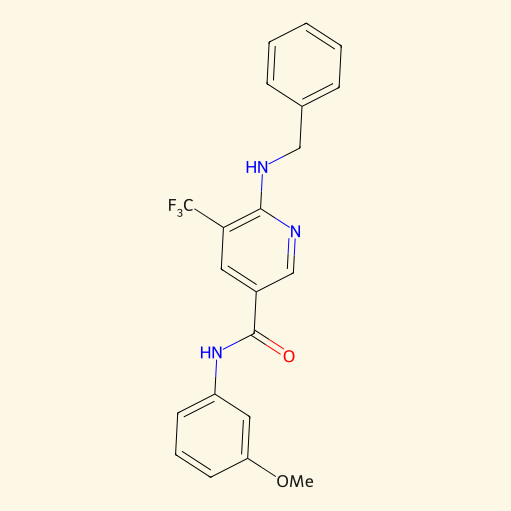 COc1cccc(NC(=O)c2cnc(NCc3ccccc3)c(C(F)(F)F)c2)c1